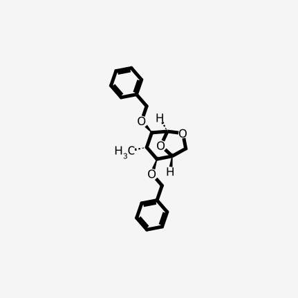 C[C@@H]1[C@@H](OCc2ccccc2)[C@H]2OC[C@@H](O2)[C@H]1OCc1ccccc1